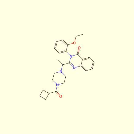 CCOc1ccccc1-n1c(C(C)N2CCN(C(=O)C3CCC3)CC2)nc2ccccc2c1=O